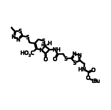 Cc1nnc(SCC2=C(C(=O)O)N3C(=O)C(NC(=O)CSc4nnc(CNC(=O)OC(C)(C)C)s4)[C@@H]3SC2)s1